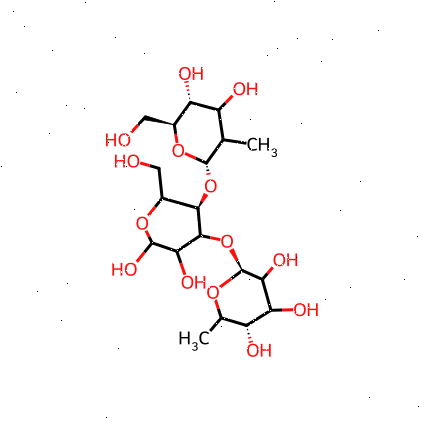 CC1C(O)[C@@H](O)[C@H](CO)O[C@H]1O[C@@H]1C(CO)OC(O)C(O)C1O[C@@H]1OC(C)[C@@H](O)C(O)C1O